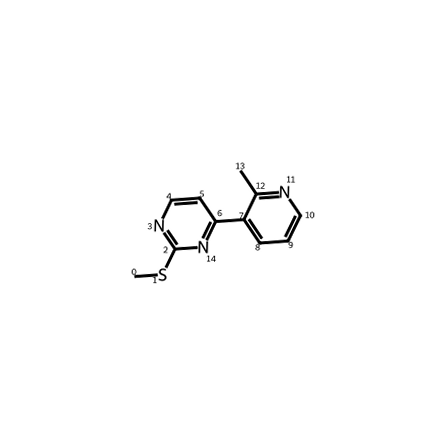 CSc1nccc(-c2cccnc2C)n1